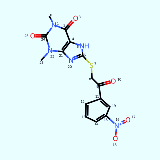 Cn1c(=O)c2[nH]c(SCC(=O)c3cccc([N+](=O)[O-])c3)nc2n(C)c1=O